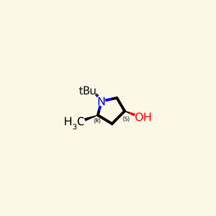 C[C@@H]1C[C@H](O)CN1C(C)(C)C